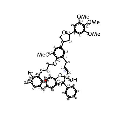 COc1cc(C2COC(c3cc(OC)c(OC)c(OC)c3)C2)cc(C/C=C/[N+](O)(Oc2ccccc2)C(=O)c2ccccc2)c1OCCSc1c(F)c(F)cc(F)c1F